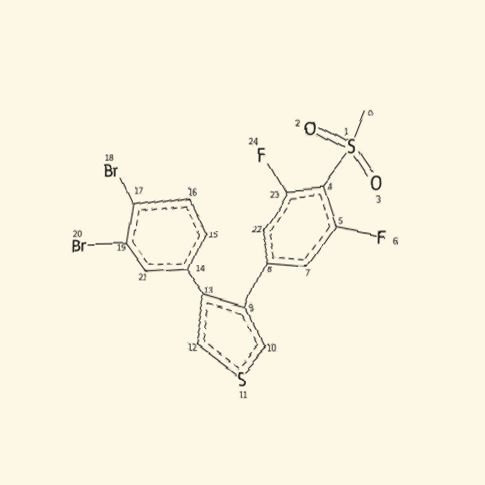 CS(=O)(=O)c1c(F)cc(-c2cscc2-c2ccc(Br)c(Br)c2)cc1F